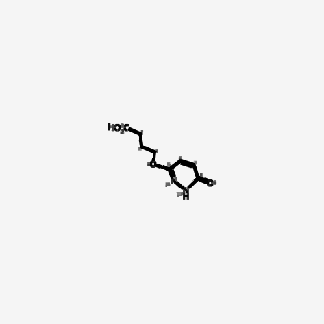 O=C(O)CCCOc1ccc(=O)[nH]n1